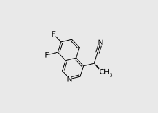 C[C@H](C#N)c1cncc2c(F)c(F)ccc12